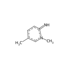 Cc1ccc(=N)n(C)c1